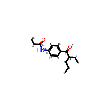 CCCC(CC)C(=O)c1ccc(NC(=O)CC)cc1